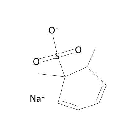 CC1C=CC=CC1(C)S(=O)(=O)[O-].[Na+]